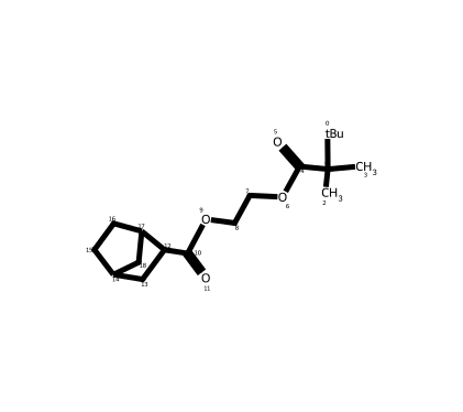 CC(C)(C)C(C)(C)C(=O)OCCOC(=O)C1CC2CCC1C2